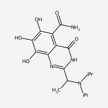 CC(C)N(C(C)C)C(C)c1nc2c(O)c(O)c(O)c(C(N)=O)c2c(=O)[nH]1